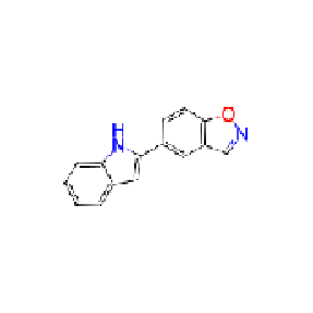 c1ccc2[nH]c(-c3ccc4oncc4c3)cc2c1